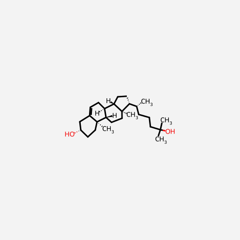 C[C@H](CCCC(C)(C)O)[C@H]1CC[C@H]2[C@@H]3CC=C4C[C@@H](O)CC[C@]4(C)[C@H]3CC[C@]12C